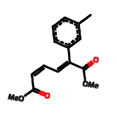 COC(=O)/C=C\C=C(\C(=O)OC)c1cccc(C)c1